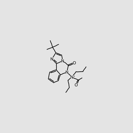 CCC[N+](CCC)(C(C)=O)n1c(=O)n2cc(C(C)(C)C)nc2c2ccccc21